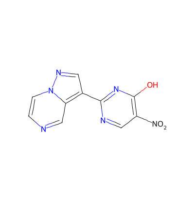 O=[N+]([O-])c1cnc(-c2cnn3ccncc23)nc1O